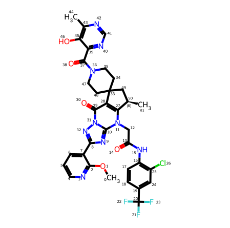 COc1ncccc1-c1nc2n(CC(=O)Nc3ccc(C(F)(F)F)cc3Cl)c3c(c(=O)n2n1)C1(CCN(C(=O)c2ncnc(C)c2O)CC1)C[C@H]3C